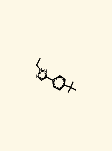 CCn1ncc(-c2ccc(C(C)(C)C)cc2)n1